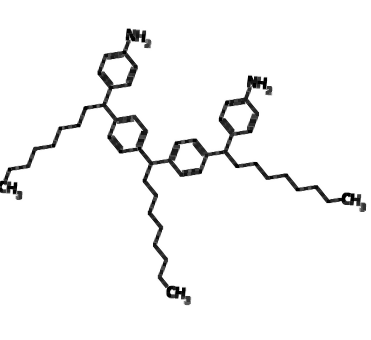 CCCCCCCCC(c1ccc(N)cc1)c1ccc(C(CCCCCCCC)c2ccc(C(CCCCCCCC)c3ccc(N)cc3)cc2)cc1